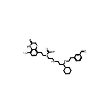 O=Cc1cccc(CCOC(CCNCCN(CCc2ccc(O)c3c2OCC(=O)N3)C(=O)O)C2CCCCC2)c1